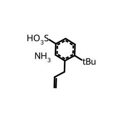 C=CCc1cc(S(=O)(=O)O)ccc1C(C)(C)C.N